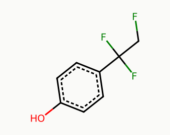 Oc1ccc(C(F)(F)CF)cc1